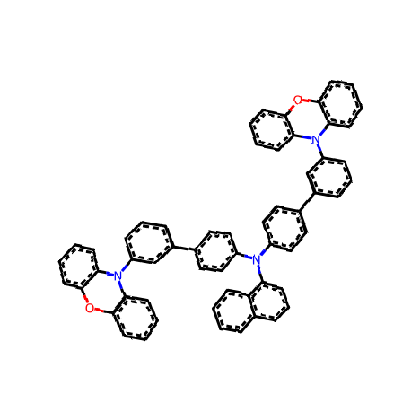 c1cc(-c2ccc(N(c3ccc(-c4cccc(N5c6ccccc6Oc6ccccc65)c4)cc3)c3cccc4ccccc34)cc2)cc(N2c3ccccc3Oc3ccccc32)c1